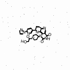 O=C(CO)N1CCC(n2c(=O)[nH]c(=O)c3cnc4ccc(-c5ccc(-n6cccn6)nc5)nc4c32)CC1